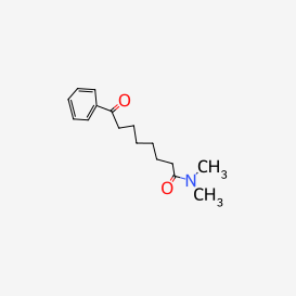 CN(C)C(=O)CCCCCCC(=O)c1ccccc1